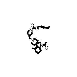 CCC#CCOC(=O)N1CC[C@H](CN2CCC3(CC2)CN(C(C)=O)c2cccc(C)c23)C1